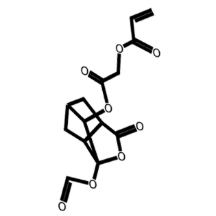 C=CC(=O)OCC(=O)OC1C2CC3C(=O)OC1(OC=O)C3C2